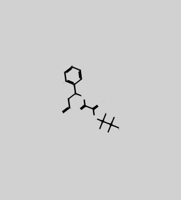 C=CCC(OC(=O)C(=O)OC(C)(C)C(C)(C)C)c1ccccc1